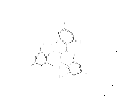 Cc1cc(C)c(CN(Cc2c(C)cc(C)cc2O)Cc2c(C)cc(C)cc2O)c(O)c1